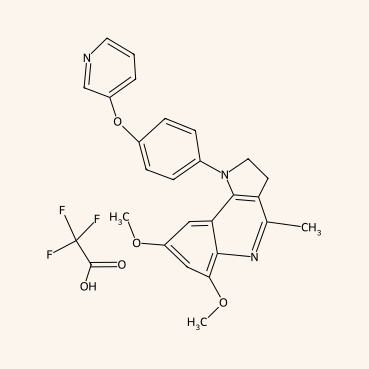 COc1cc(OC)c2nc(C)c3c(c2c1)N(c1ccc(Oc2cccnc2)cc1)CC3.O=C(O)C(F)(F)F